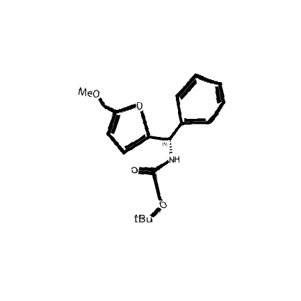 COc1ccc([C@@H](NC(=O)OC(C)(C)C)c2ccccc2)o1